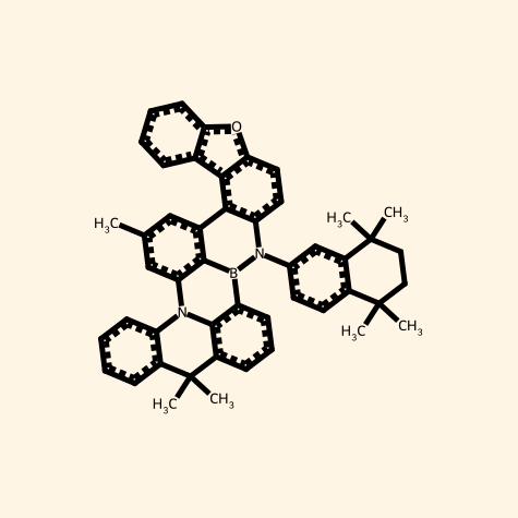 Cc1cc2c3c(c1)N1c4ccccc4C(C)(C)c4cccc(c41)B3N(c1ccc3c(c1)C(C)(C)CCC3(C)C)c1ccc3oc4ccccc4c3c1-2